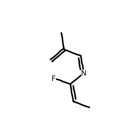 C=C(C)/C=N\C(F)=C/C